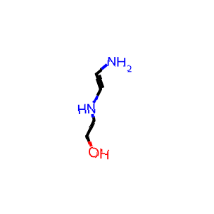 NC=CNCCO